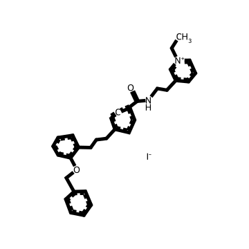 CC[n+]1cccc(CCNC(=O)c2ccc(CCCc3ccccc3OCc3ccccc3)cc2)c1.[I-]